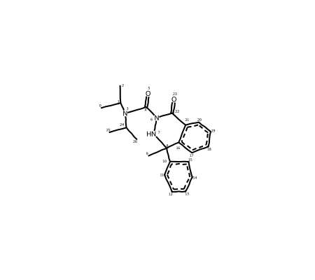 CC(C)N(C(=O)N1NC(C)(c2ccccc2)c2ccccc2C1=O)C(C)C